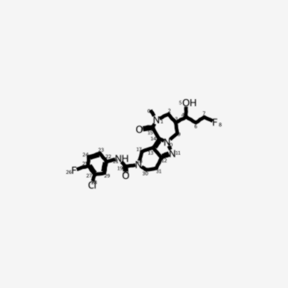 CN1CC(C(O)CCF)Cn2nc3c(c2C1=O)CN(C(=O)Nc1ccc(F)c(Cl)c1)CC3